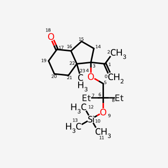 C=C(C)C1(OCC(CC)(CC)O[Si](C)(C)C)CCC2C(=O)CCCC21C